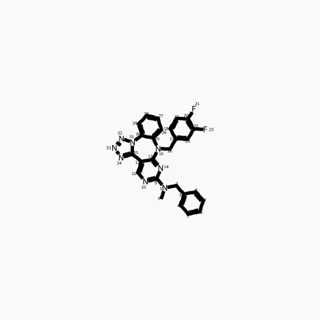 CN(Cc1ccccc1)c1ncc2c(n1)N(Cc1ccc(F)c(F)c1)c1ccccc1-n1nnnc1-2